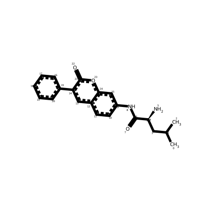 CC(C)C[C@H](N)C(=O)Nc1ccc2cc(-c3ccccc3)c(=O)oc2c1